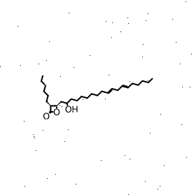 CCCCCC=CCC=CCCCCCCCC(O)C[C@H]1OC(=O)[C@H]1CCCCCC